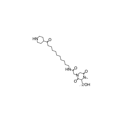 C[C@@H](O)C1C(=O)N(CC(=O)NCCCCCCCCCCC(=O)C2CCNCC2)CC(=O)N1C